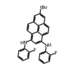 CC(C)(C)c1cc2ccc3c(Nc4ccccc4F)cc(Nc4ccccc4F)c4ccc(c1)c2c34